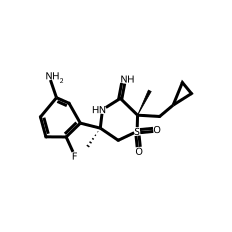 C[C@]1(CC2CC2)C(=N)N[C@](C)(c2cc(N)ccc2F)CS1(=O)=O